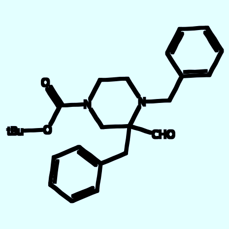 CC(C)(C)OC(=O)N1CCN(Cc2ccccc2)C(C=O)(Cc2ccccc2)C1